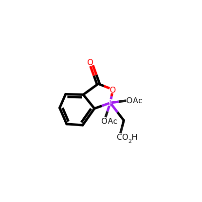 CC(=O)OI1(CC(=O)O)(OC(C)=O)OC(=O)c2ccccc21